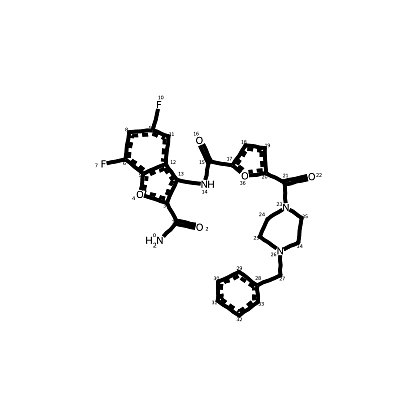 NC(=O)c1oc2c(F)cc(F)cc2c1NC(=O)c1ccc(C(=O)N2CCN(Cc3ccccc3)CC2)o1